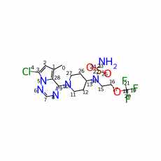 Cc1cc(Cl)n2ncnc(N3CCC(N(CCOC(F)(F)F)S(N)(=O)=O)CC3)c12